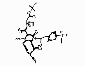 CC(C)(C)OC(=O)CNC(=O)c1c(O)c2ccc(C#N)c3c2n(c1=O)C(Cc1ccc(C(F)(F)F)cc1)CO3